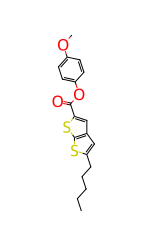 CCCCCc1cc2cc(C(=O)Oc3ccc(OC)cc3)sc2s1